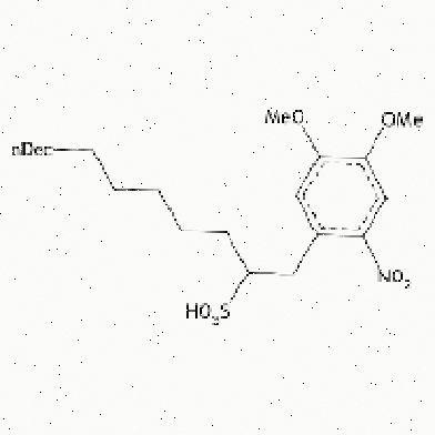 CCCCCCCCCCCCCCCC(Cc1cc(OC)c(OC)cc1[N+](=O)[O-])S(=O)(=O)O